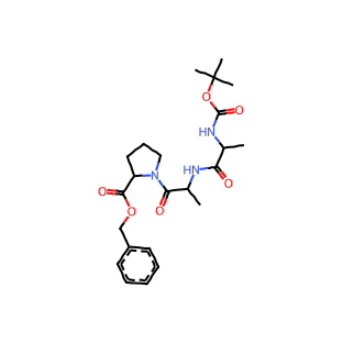 CC(NC(=O)OC(C)(C)C)C(=O)NC(C)C(=O)N1CCCC1C(=O)OCc1ccccc1